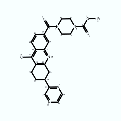 CCCOC(=O)N1CCN(C(=O)c2ccc3c(Cl)c4c(nc3c2)CC(c2cnccn2)CC4)CC1